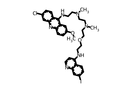 COc1ccc2nc3cc(Cl)ccc3c(NCCN(C)CCN(C)CCOCCNc3ccnc4cc(I)ccc34)c2c1